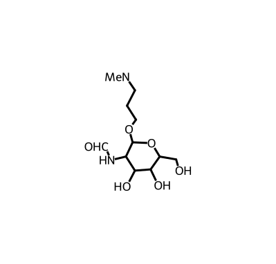 CNCCCOC1OC(CO)C(O)C(O)C1NC=O